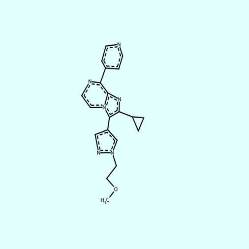 COCCn1cc(-c2c(C3CC3)nc3c(-c4ccncc4)nccn23)cn1